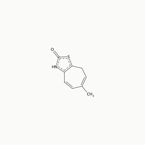 CC1=CCc2sc(=O)[nH]c2C=C1